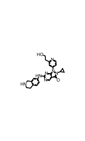 O=c1c2cnc(Nc3ccc4c(c3)CNCC4)nc2n(-c2ccnc(CCO)c2)n1C1CC1